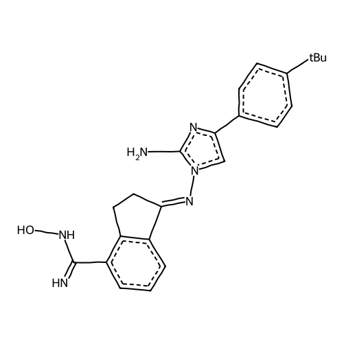 CC(C)(C)c1ccc(-c2cn(N=C3CCc4c(C(=N)NO)cccc43)c(N)n2)cc1